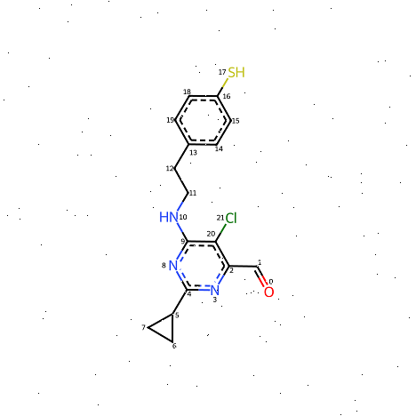 O=Cc1nc(C2CC2)nc(NCCc2ccc(S)cc2)c1Cl